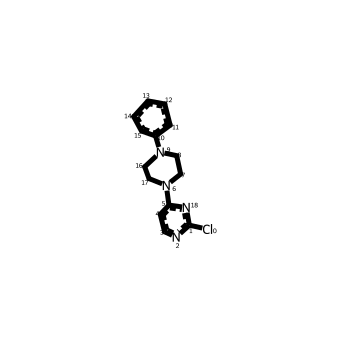 Clc1nccc(N2CCN(c3ccccc3)CC2)n1